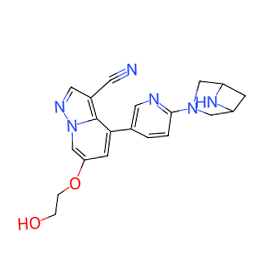 N#Cc1cnn2cc(OCCO)cc(-c3ccc(N4CC5CC(C4)N5)nc3)c12